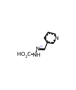 O=C(O)N/N=C/c1cccnc1